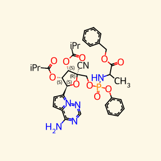 CC(C)C(=O)O[C@H]1[C@H](c2ccc3c(N)ncnn23)O[C@](C#N)(COP(=O)(NC(C)C(=O)OCc2ccccc2)Oc2ccccc2)[C@H]1OC(=O)C(C)C